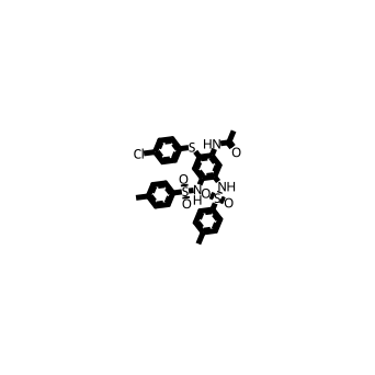 CC(=O)Nc1cc(NS(=O)(=O)c2ccc(C)cc2)c(NS(=O)(=O)c2ccc(C)cc2)cc1Sc1ccc(Cl)cc1